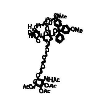 COc1ccc(C(OC[C@]2(COP(OCCC#N)N(C(C)C)C(C)C)CN(CCOCCOCCOCCO[C@@H]3O[C@H](COC(C)=O)[C@H](OC(C)=O)[C@H](OC(C)=O)[C@H]3NC(C)=O)C[C@H](n3cc(C)c(=O)[nH]c3=O)O2)(c2ccccc2)c2ccc(OC)cc2)cc1